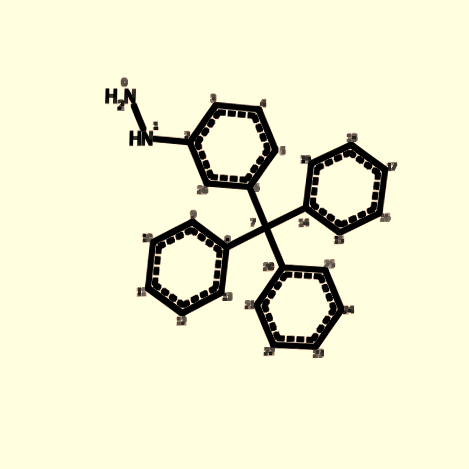 NNc1cccc(C(c2ccccc2)(c2ccccc2)c2ccccc2)c1